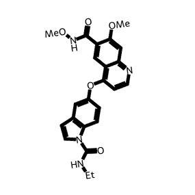 CCNC(=O)n1ccc2cc(Oc3ccnc4cc(OC)c(C(=O)NOC)cc34)ccc21